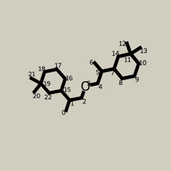 CC(COCC(C)C1CCCC(C)(C)C1)C1CCCC(C)(C)C1